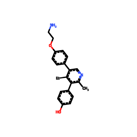 CCc1c(-c2ccc(OCCN)cc2)cnc(C)c1-c1ccc(O)cc1